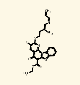 C=C/C=N\C=C(/N)CCSc1nc2c(cc1F)c(=O)c(C(=O)OCC)c1sc3ccccc3n12